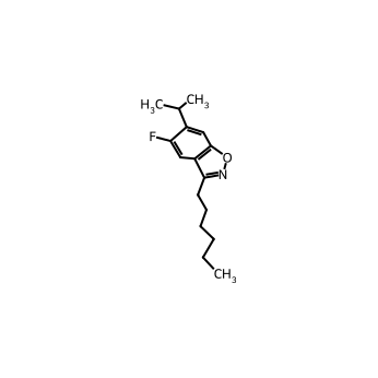 CCCCCCc1noc2cc(C(C)C)c(F)cc12